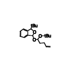 C=CCCC(OC1OC(C(C)(C)C)c2ccccc21)OC(C)(C)C